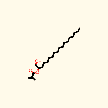 C=C(C)C(=O)OC(CO)CCCCCCCCCCCCCCCC